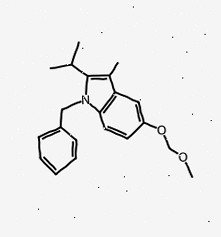 COCOc1ccc2c(c1)c(C)c(C(C)C)n2Cc1ccccc1